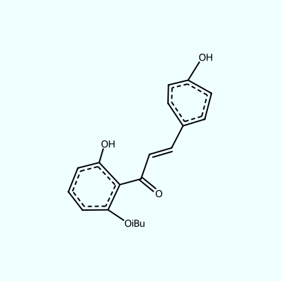 CC(C)COc1cccc(O)c1C(=O)/C=C/c1ccc(O)cc1